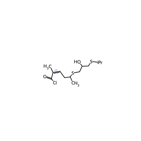 C/C(=C/CC(C)SCC(O)CSC(C)C)C(=O)Cl